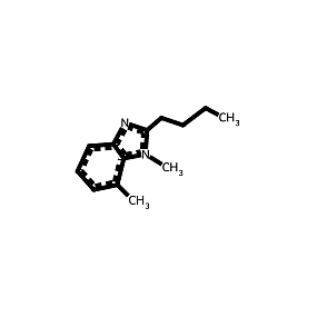 CCCCc1nc2cccc(C)c2n1C